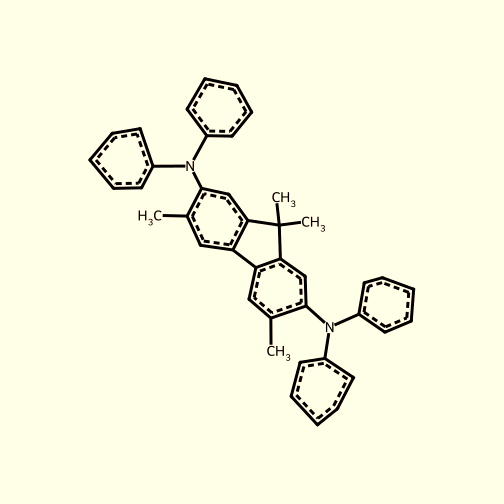 Cc1cc2c(cc1N(c1ccccc1)c1ccccc1)C(C)(C)c1cc(N(c3ccccc3)c3ccccc3)c(C)cc1-2